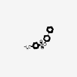 Cc1ccc(S(=O)(=O)O[C@H]2CC[C@H](c3ccccc3)CC2)cc1